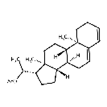 CC(=O)OC(C)[C@H]1CC[C@H]2[C@@H]3CC=C4C=CCC[C@]4(C)[C@H]3CC[C@]12C